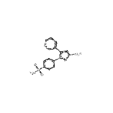 CCOC(=O)c1cc(-c2cccnc2)n(-c2ccc(S(N)(=O)=O)cc2)n1